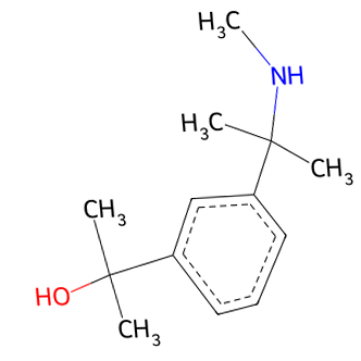 CNC(C)(C)c1cccc(C(C)(C)O)c1